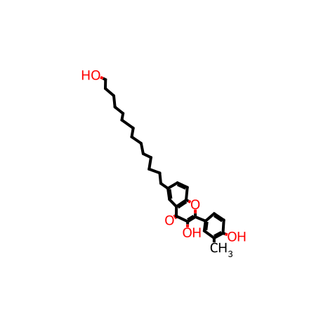 Cc1cc(-c2oc3ccc(CCCCCCCCCCCCCCO)cc3c(=O)c2O)ccc1O